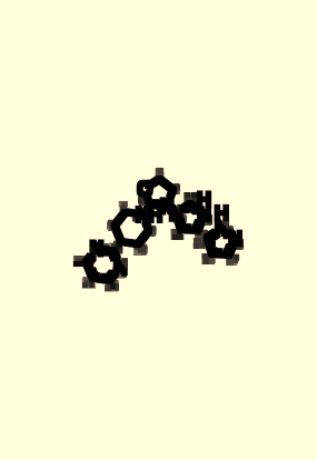 C1=NCCO1.C1CCNCC1.c1c[nH]cn1.c1cn[nH]c1.c1cncnc1